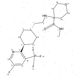 CNC(=O)C1(NCC[C@H]2CC[C@H](c3ncc(F)cc3C(F)(F)F)CC2)CCOCC1